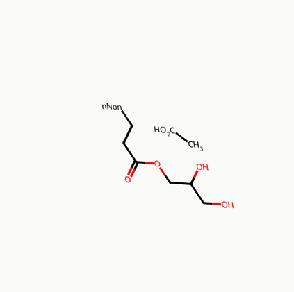 CC(=O)O.CCCCCCCCCCCC(=O)OCC(O)CO